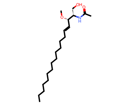 CCCCCCCCCCCCC/C=C/[C@H](OC)[C@H](CO)NC(C)=O